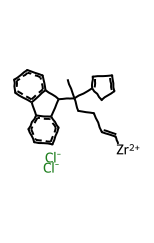 CC(CCC=[CH][Zr+2])(C1=CC=CC1)C1c2ccccc2-c2ccccc21.[Cl-].[Cl-]